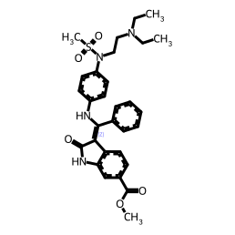 CCN(CC)CCN(c1ccc(N/C(=C2\C(=O)Nc3cc(C(=O)OC)ccc32)c2ccccc2)cc1)S(C)(=O)=O